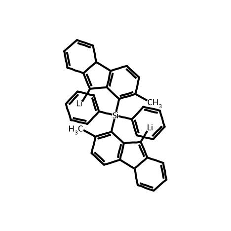 [Li][C]1=C2C=CC=CC2c2ccc(C)c([Si](c3ccccc3)(c3ccccc3)c3c(C)ccc4c3[C]([Li])=C3C=CC=CC34)c21